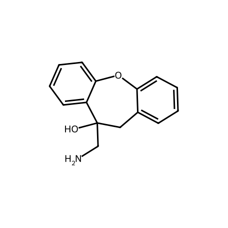 NCC1(O)Cc2ccccc2Oc2ccccc21